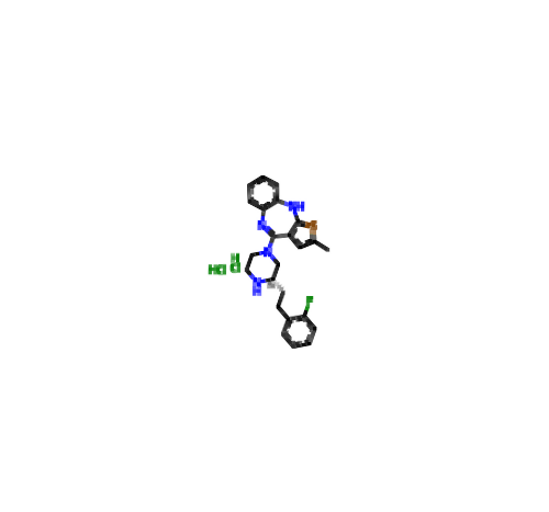 Cc1cc2c(s1)Nc1ccccc1N=C2N1CCN[C@@H](CCc2ccccc2F)C1.Cl.Cl